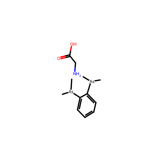 C[As](C)c1ccccc1[As](C)C.NCC(=O)O